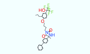 CCCc1cc(C(O)(C(F)(F)F)C(F)(F)F)ccc1OCCCCN1C(=O)NC(C)(c2ccc(-c3ccccc3)cc2)C1=O